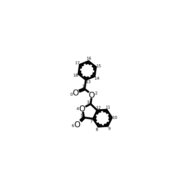 O=C(OC1OC(=O)c2ccccc21)c1ccccc1